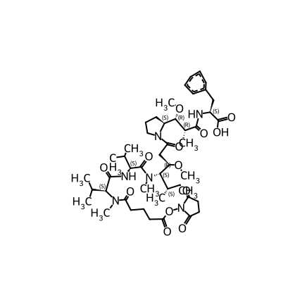 CC[C@H](C)[C@@H]([C@@H](CC(=O)N1CCC[C@H]1[C@H](OC)[C@@H](C)C(=O)N[C@@H](Cc1ccccc1)C(=O)O)OC)N(C)C(=O)[C@@H](NC(=O)[C@H](C(C)C)N(C)C(=O)CCCC(=O)ON1C(=O)CCC1=O)C(C)C